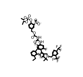 CCOP(=O)(OCC)Oc1ccc(COC(=O)NC(=O)Nc2cc(F)c(-c3c4c(nn3-c3c(CC)cccc3CC)C(C)(C)N(Cc3ccc(C(F)(F)F)cc3C(F)(F)F)C4)cc2F)cc1[N+](=O)[O-]